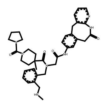 CNCc1ccccc1CN(CC(=O)Nc1ccc2c(c1)CC(=O)Nc1ncccc1C2)C(=O)C1(C)CCN(C(=O)N2CCCC2)CC1